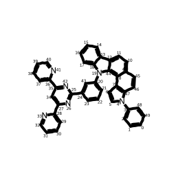 c1ccc(-n2ccc3c4c(ccc5c6ccccc6n(-c6cccc(-c7nc(-c8ccccn8)cc(-c8ccccn8)n7)c6)c54)ccc32)cc1